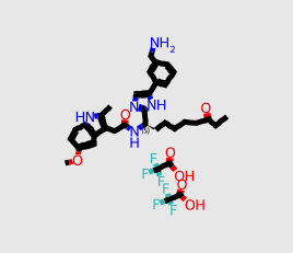 CCC(=O)CCCCC[C@H](NC(=O)Cc1c(C)[nH]c2ccc(OC)cc12)c1ncc(-c2cccc(CN)c2)[nH]1.O=C(O)C(F)(F)F.O=C(O)C(F)(F)F